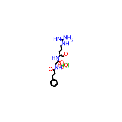 Cl.N=C(N)NCCC[C@@H](C=O)NC(=O)CNC(=O)CCc1ccccc1.O